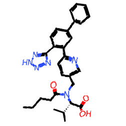 CCCCC(=O)N(Cc1ccc(-c2cc(-c3ccccc3)ccc2-c2nn[nH]n2)nc1)[C@H](C(=O)O)C(C)C